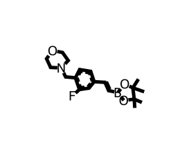 CC1(C)OB(C=Cc2ccc(CN3CCOCC3)c(F)c2)OC1(C)C